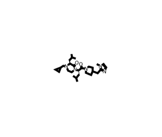 CC(C)C[C@H]1C(=O)N([C@@H](CC(C)C)C(=O)N2CCC(Cc3nccn3C)CC2)CCN1CC1CC1